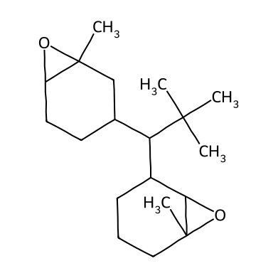 CC(C)(C)C(C1CCC2OC2(C)C1)C1CCCC2(C)OC12